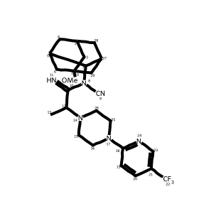 COC12CC3CC(C1)C(N(C#N)C(=N)C(C)N1CCN(c4ccc(C(F)(F)F)cn4)CC1)C(C3)C2